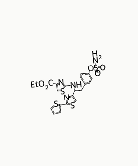 CCOC(=O)c1csc(NC(Cc2ccc(OS(N)(=O)=O)cc2)c2csc(-c3cccs3)n2)n1